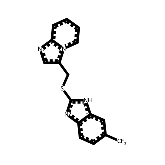 FC(F)(F)c1ccc2nc(SCc3cnc4ccccn34)[nH]c2c1